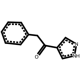 O=C(Cc1ccccc1)c1cn[nH]c1